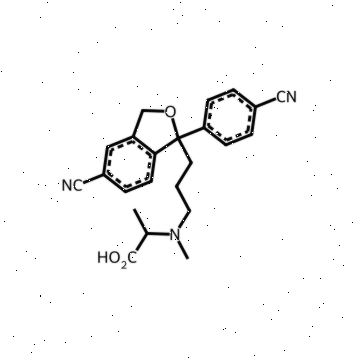 CC(C(=O)O)N(C)CCCC1(c2ccc(C#N)cc2)OCc2cc(C#N)ccc21